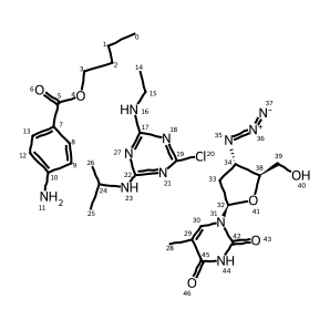 CCCCOC(=O)c1ccc(N)cc1.CCNc1nc(Cl)nc(NC(C)C)n1.Cc1cn([C@H]2C[C@H](N=[N+]=[N-])[C@@H](CO)O2)c(=O)[nH]c1=O